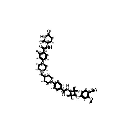 COc1cc(OC2C(C)(C)C(NC(=O)c3ccc(N4CCC(CN5CCN(c6ccc(C(=O)N[C@H]7CCC(=O)NC7=O)c(F)c6)CC5)CC4)cc3)C2(C)C)ccc1C#N